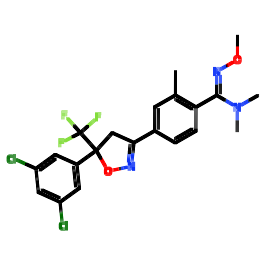 CON=C(c1ccc(C2=NOC(c3cc(Cl)cc(Cl)c3)(C(F)(F)F)C2)cc1C)N(C)C